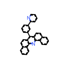 c1ccc(-c2cccc(-c3c4ccc5ccccc5c4nc4c3ccc3ccccc34)c2)nc1